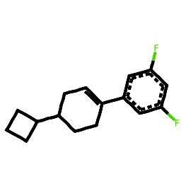 Fc1cc(F)cc(C2=CCC(C3CCC3)CC2)c1